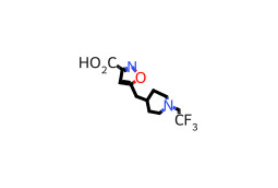 O=C(O)c1cc(CC2CCN(CC(F)(F)F)CC2)on1